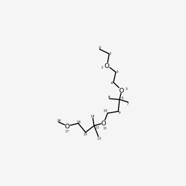 CCOCCOC(C)(C)CCOC(C)(C)CCOC